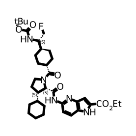 CCOC(=O)c1cc2nc(NC(=O)[C@@H]3[C@H](C4CCCCC4)CCN3C(=O)[C@H]3CC[C@H]([C@@H](CF)NC(=O)OC(C)(C)C)CC3)ccc2[nH]1